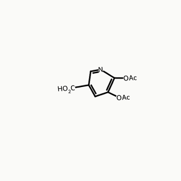 CC(=O)Oc1cc(C(=O)O)cnc1OC(C)=O